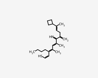 C=C(C/C=C(\C)C1CCC1)C(=N)/C(C)=C/C(C)=C(/C=C\S)CCCC